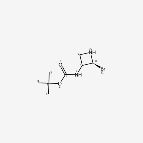 CC(C)(C)OC(=O)NC1CN[C@H]1Br